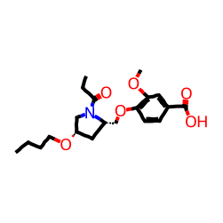 CCCCO[C@H]1C[C@@H](COc2ccc(C(=O)O)cc2OC)N(C(=O)CC)C1